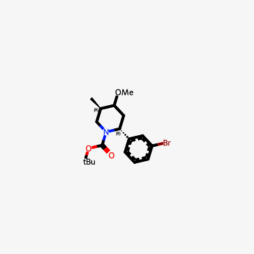 COC1C[C@H](c2cccc(Br)c2)N(C(=O)OC(C)(C)C)C[C@H]1C